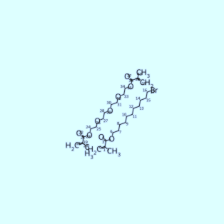 C=C(C)C(=O)OCCCCCCCCCCCBr.C=C(C)C(=O)OCCOCCOCCOCCOC(=O)C(=C)C